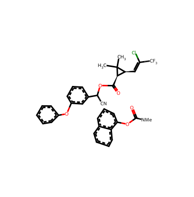 CC1(C)[C@H](C(=O)OC(C#N)c2cccc(Oc3ccccc3)c2)[C@@H]1/C=C(\Cl)C(F)(F)F.CNC(=O)Oc1cccc2ccccc12